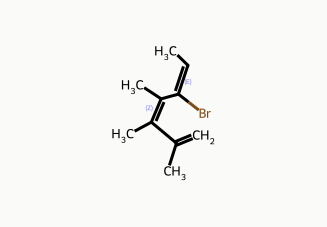 C=C(C)/C(C)=C(C)\C(Br)=C/C